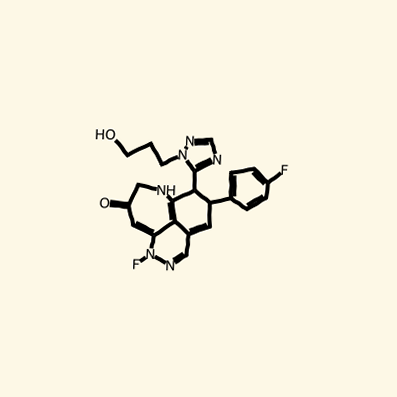 O=C1C=C2C3=C(NC1)C(c1ncnn1CCCO)C(c1ccc(F)cc1)C=C3C=NN2F